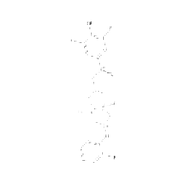 Oc1c(F)cc([C@@H](O)CN2C[C@H]3C[C@H](Oc4ccccc4F)C[C@@]3(O)C2)cc1F